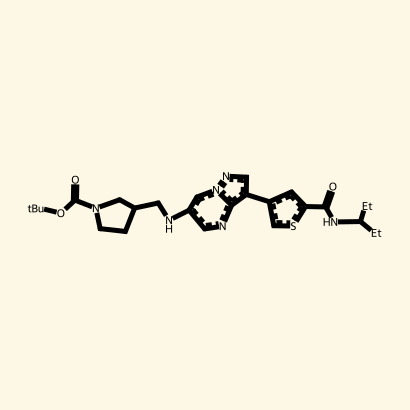 CCC(CC)NC(=O)c1cc(-c2cnn3cc(NCC4CCN(C(=O)OC(C)(C)C)C4)cnc23)cs1